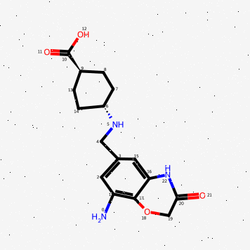 Nc1cc(CN[C@H]2CC[C@H](C(=O)O)CC2)cc2c1OCC(=O)N2